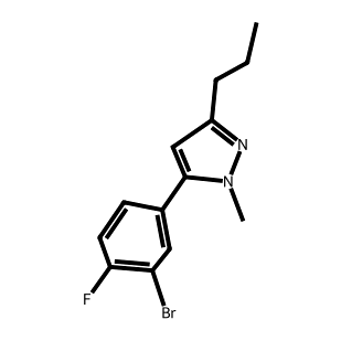 CCCc1cc(-c2ccc(F)c(Br)c2)n(C)n1